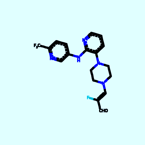 O=CC(F)=CN1CCN(c2cccnc2Nc2ccc(C(F)(F)F)nc2)CC1